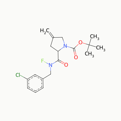 C=C1CC(C(=O)N(F)Cc2cccc(Cl)c2)N(C(=O)OC(C)(C)C)C1